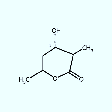 CC1C[C@H](O)C(C)C(=O)O1